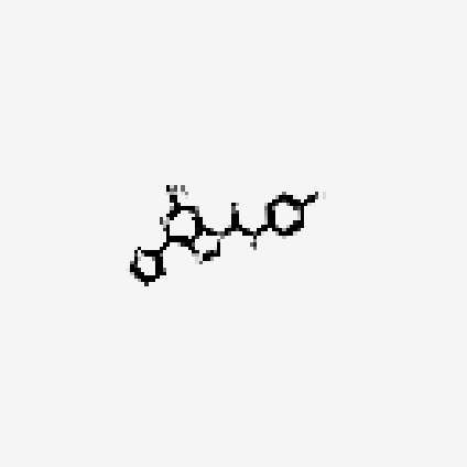 Cc1ccc(NC(=O)n2cnc3c(-c4ccco4)nc(N)nc32)cc1